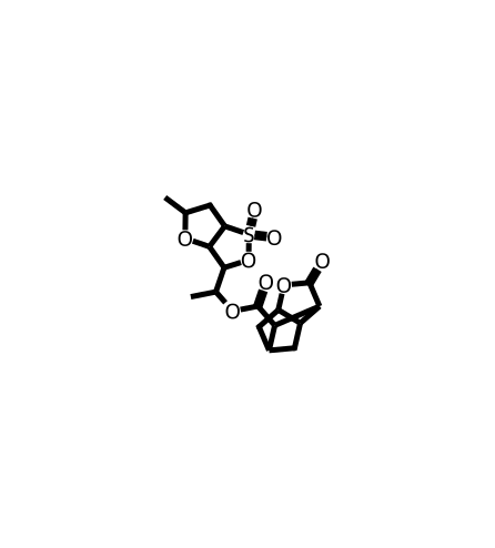 CC1CC2C(O1)C(C(C)OC(=O)C1C3CC4OC(=O)C1C4C3)OS2(=O)=O